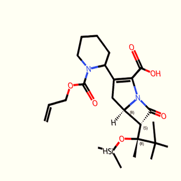 C=CCOC(=O)N1CCCCC1C1=C(C(=O)O)N2C(=O)[C@H]([C@@](C)(O[SiH](C)C)C(C)(C)C)[C@H]2C1